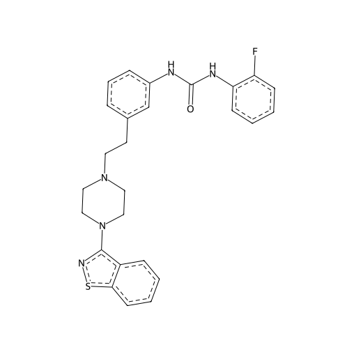 O=C(Nc1cccc(CCN2CCN(c3nsc4ccccc34)CC2)c1)Nc1ccccc1F